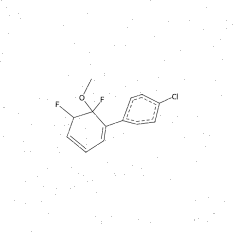 COC1(F)C(c2ccc(Cl)cc2)=CC=CC1F